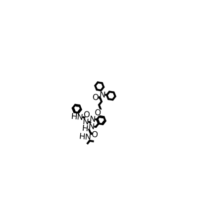 CC(C)NC(=O)CN1Cc2cccc(OCCCC(=O)N(C3CCCCC3)C3CCCCC3)c2N=C1NC(=O)Nc1ccccc1